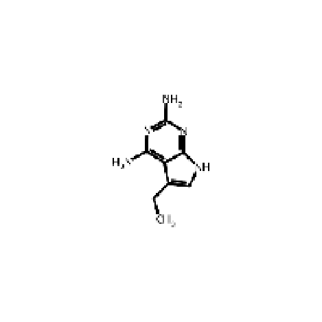 CCc1c[nH]c2nc(N)nc(N)c12